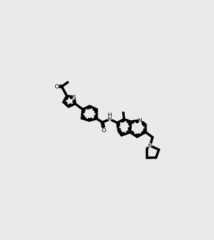 CC(=O)c1ccc(-c2ccc(C(=O)Nc3ccc4cc(CN5CCCC5)cnc4c3C)cc2)s1